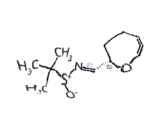 CC(C)(C)[S+]([O-])/N=C/[C@@H]1CCC=CO1